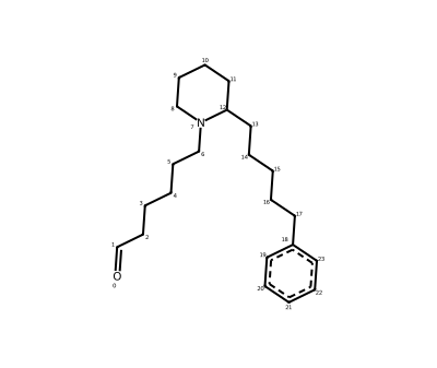 O=CCCCCCN1CCCCC1CCCCCc1ccccc1